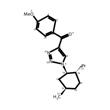 COc1ccc(C(=O)c2cn([C@@H]3C[C@H](C)CC[C@H]3C(C)C)nn2)cc1